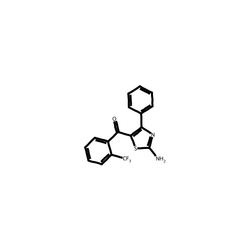 Nc1nc(-c2ccccc2)c(C(=O)c2ccccc2C(F)(F)F)s1